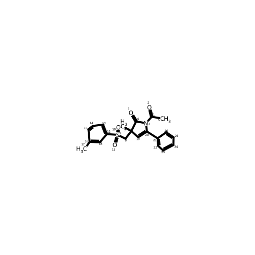 CC(=O)N1C(=O)C(C)(CS(=O)(=O)c2cccc(C)c2)C=C1c1ccccc1